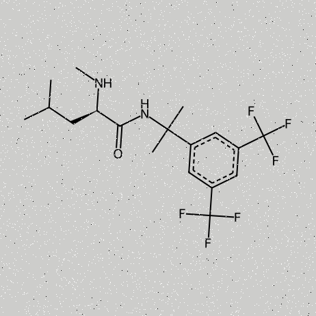 CN[C@H](CC(C)C)C(=O)NC(C)(C)c1cc(C(F)(F)F)cc(C(F)(F)F)c1